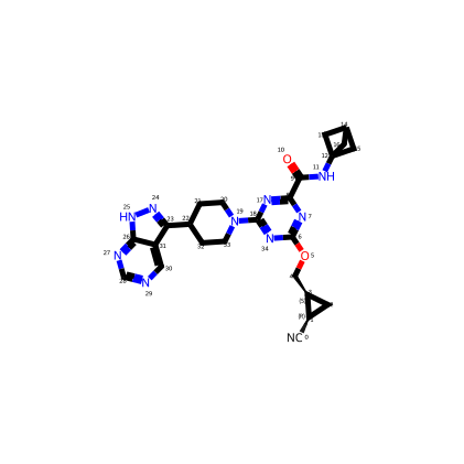 N#C[C@@H]1C[C@@H]1COc1nc(C(=O)NC23CC(C2)C3)nc(N2CCC(c3n[nH]c4ncncc34)CC2)n1